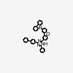 c1ccc(-c2ccc(C3=NC(c4ccccc4)NC(c4ccc5oc6ccc(-n7c8ccccc8c8ccccc87)cc6c5c4)=N3)cc2)cc1